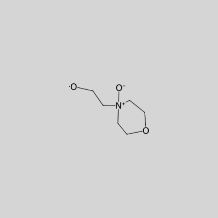 [O]CC[N+]1([O-])CCOCC1